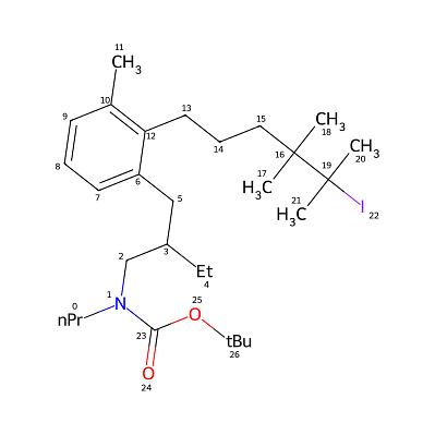 CCCN(CC(CC)Cc1cccc(C)c1CCCC(C)(C)C(C)(C)I)C(=O)OC(C)(C)C